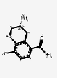 NC(=O)c1ccc(F)c2c1C[C@@H](N)CO2